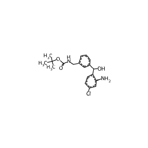 CC(C)(C)OC(=O)NCc1cccc(C(O)c2ccc(Cl)cc2N)c1